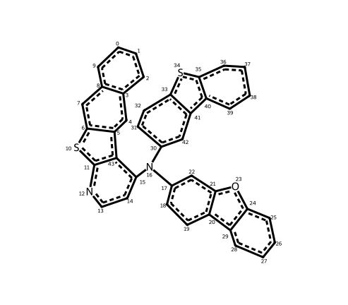 c1ccc2cc3c(cc2c1)sc1nccc(N(c2ccc4c(c2)oc2ccccc24)c2ccc4sc5ccccc5c4c2)c13